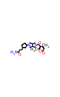 Cc1cc(=O)oc(C)c1C(=O)N1CC2CN(c3cccc(CCC(N)=O)c3)CC2C1